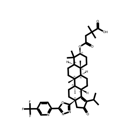 CC(C)C1=C2[C@H]3CC[C@@H]4[C@@]5(C)CC[C@H](OC(=O)CC(C)(C)C(=O)O)C(C)(C)[C@@H]5CC[C@@]4(C)[C@]3(C)CC[C@@]2(c2nnc(-c3ccc(C(F)(F)F)cn3)o2)CC1=O